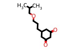 CC(C)COCCCC1CC(=O)CC(=O)C1